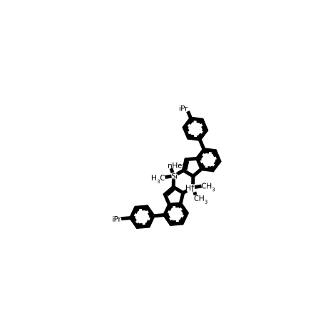 CCCCCC[Si]1(C)C2=Cc3c(-c4ccc(C(C)C)cc4)cccc3[CH]2[Hf]([CH3])([CH3])[CH]2C1=Cc1c(-c3ccc(C(C)C)cc3)cccc12